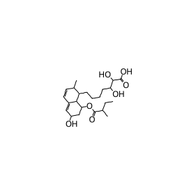 CCC(C)C(=O)OC1CC(O)C=C2C=CC(C)C(CCCCC(O)C(O)C(=O)O)C21